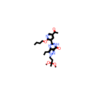 CCCCOc1ncc(C(C)=O)cc1-c1nc2c(CC)n(CCC(C)(OC)OC)nc2c(=O)[nH]1